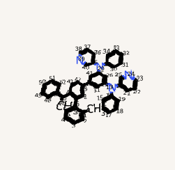 Cc1ccccc1-c1cc(-c2cc(N(c3ccccc3)c3cccnc3)cc(N(c3ccccc3)c3cccnc3)c2)ccc1C(C)c1ccccc1